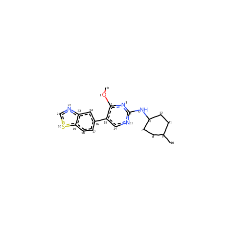 COc1nc(NC2CCC(C)CC2)ncc1-c1ccc2scnc2c1